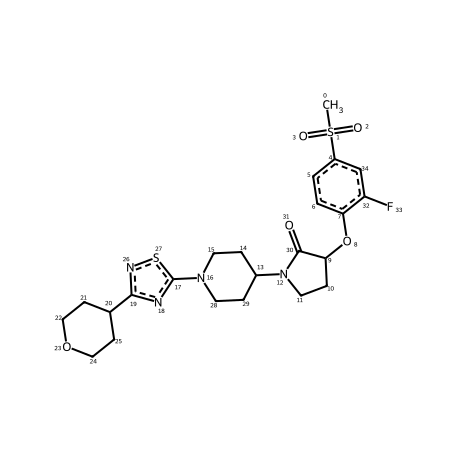 CS(=O)(=O)c1ccc(OC2CCN(C3CCN(c4nc(C5CCOCC5)ns4)CC3)C2=O)c(F)c1